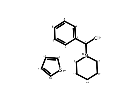 ClC(c1ccccc1)N1CCCCC1.c1ccsc1